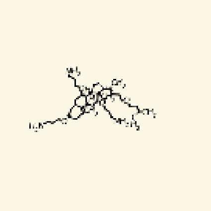 CC(C)CCOCCC[C@@H](C)[C@H]1CC[C@H]2C3[C@H](OCCCN)CC4C[C@H](OCCCN)CCC4(C)[C@H]3C[C@H](OCCCN)[C@]12C